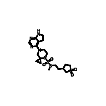 CN(CCC1CCS(=O)(=O)C1)S(=O)(=O)N1CCN(c2ncnc3[nH]ccc23)CC12CC2